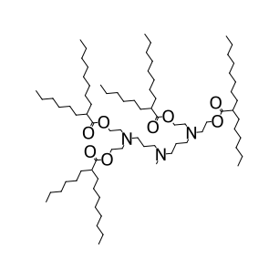 CCCCCCCCC(CCCCCC)C(=O)OCCN(CCCN(C)CCCN(CCOC(=O)C(CCCCCC)CCCCCCCC)CCOC(=O)C(CCCCCC)CCCCCCCC)CCOC(=O)C(CCCCCC)CCCCCCCC